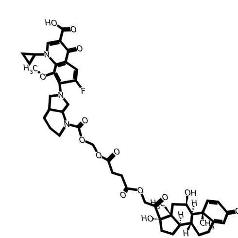 COc1c(N2CC3CCCN(C(=O)OCOC(=O)CCC(=O)OCC(=O)[C@]4(O)CC[C@@H]5[C@H]6CCC7=CC(=O)C=C[C@@]7(C)[C@@H]6[C@H](O)C[C@]54C)C3C2)c(F)cc2c(=O)c(C(=O)O)cn(C3CC3)c12